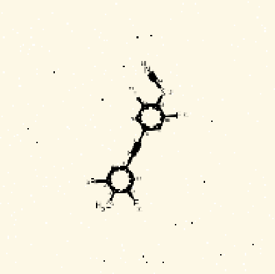 Cc1c(F)cc(C#Cc2cc(F)c(SC#N)c(F)c2)cc1F